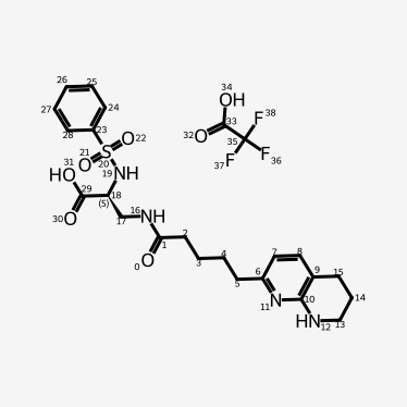 O=C(CCCCc1ccc2c(n1)NCCC2)NC[C@H](NS(=O)(=O)c1ccccc1)C(=O)O.O=C(O)C(F)(F)F